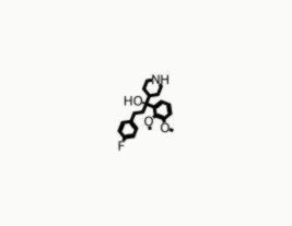 COc1cccc([C@](O)(CCc2ccc(F)cc2)C2CCNCC2)c1OC